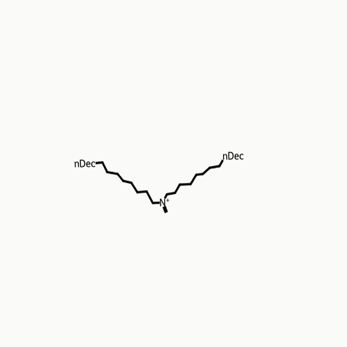 C=[N+](CCCCCCCCCCCCCCCCCC)CCCCCCCCCCCCCCCCCC